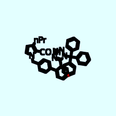 CCCc1ccn(Cc2ccc(-c3ccccc3-c3nnnn3C(c3ccccc3)(c3ccccc3)c3ccccc3)cc2)c1C(=O)O